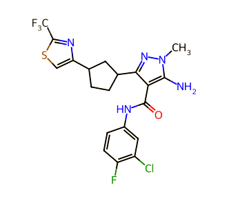 Cn1nc(C2CCC(c3csc(C(F)(F)F)n3)C2)c(C(=O)Nc2ccc(F)c(Cl)c2)c1N